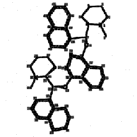 CN1CCCCC1[C@@H](Oc1nnc(O[C@@H](c2cccc3ccccc23)[C@@H]2CCCCN2C)c2ccccc12)c1cccc2ccccc12